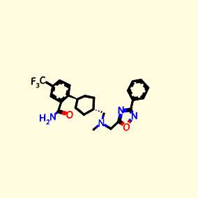 CN(Cc1nc(-c2ccccc2)no1)C[C@H]1CC[C@H](c2ccc(C(F)(F)F)cc2C(N)=O)CC1